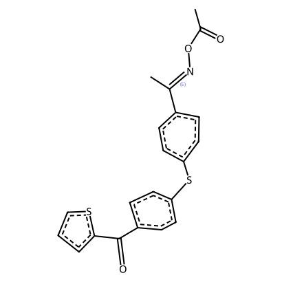 CC(=O)O/N=C(\C)c1ccc(Sc2ccc(C(=O)c3cccs3)cc2)cc1